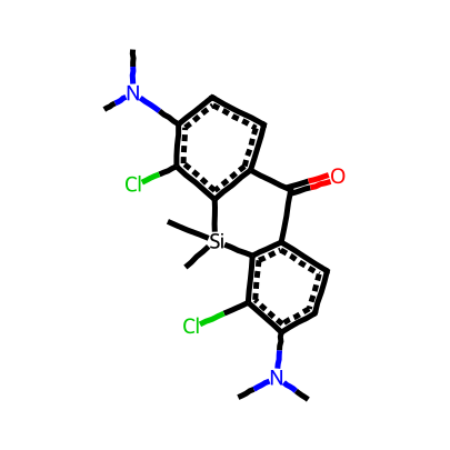 CN(C)c1ccc2c(c1Cl)[Si](C)(C)c1c(ccc(N(C)C)c1Cl)C2=O